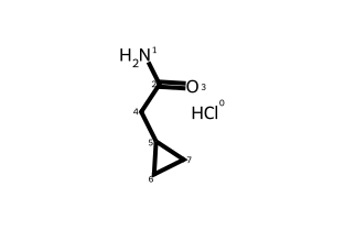 Cl.NC(=O)CC1CC1